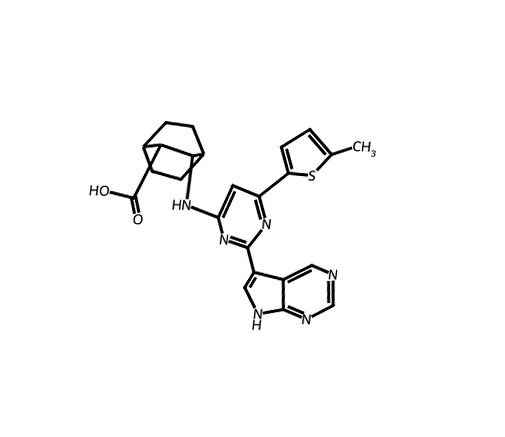 Cc1ccc(-c2cc(NC3C4CCC(CC4)C3C(=O)O)nc(-c3c[nH]c4ncncc34)n2)s1